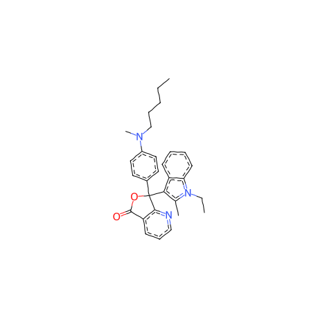 CCCCCN(C)c1ccc(C2(c3c(C)n(CC)c4ccccc34)OC(=O)c3cccnc32)cc1